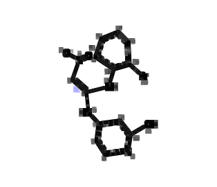 O=[N+]([O-])/C=C(/Nc1ccnc(O)c1)Nc1ccccc1Br